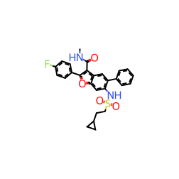 CNC(=O)c1c(-c2ccc(F)cc2)oc2cc(NS(=O)(=O)CCC3CC3)c(-c3ccccc3)cc12